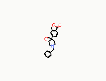 O=CC1(c2ccc3c(c2)COC3=O)CCN(Cc2ccccc2)CC1